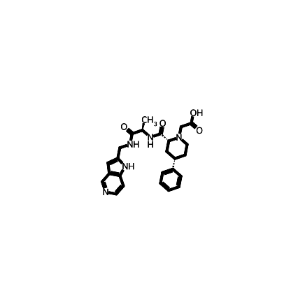 C[C@@H](NC(=O)[C@H]1C[C@@H](c2ccccc2)CCN1CC(=O)O)C(=O)NCc1cc2cnccc2[nH]1